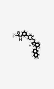 CC(C)C(=O)Nc1cccc(C2CCN(Cc3c[nH]c4c(-c5ccc6ccccc6c5)cccc34)CC2)c1